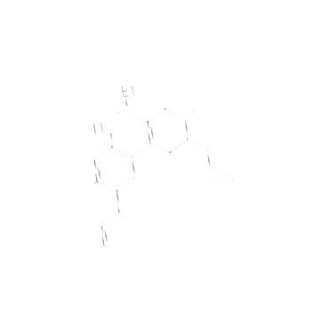 C=CCc1ccc(O)c(-c2cc(CC=C)ccc2OCC)c1